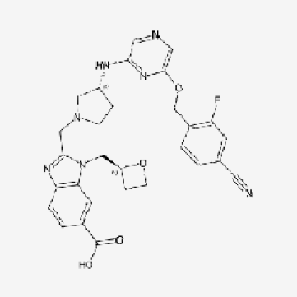 N#Cc1ccc(COc2cncc(N[C@@H]3CCN(Cc4nc5ccc(C(=O)O)cc5n4C[C@@H]4CCO4)C3)n2)c(F)c1